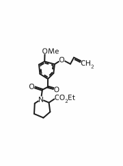 C=CCOc1cc(C(=O)C(=O)N2CCCCC2C(=O)OCC)ccc1OC